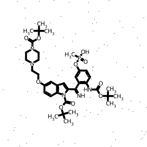 CC(C)(C)OC(=O)Nc1ccc(OP(C)(=O)O)cc1C(=N)c1cc2cc(OCCN3CCN(C(=O)OC(C)(C)C)CC3)ccc2n1C(=O)OC(C)(C)C